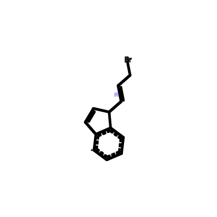 BrC/C=C/C1C=Cc2[c]cccc21